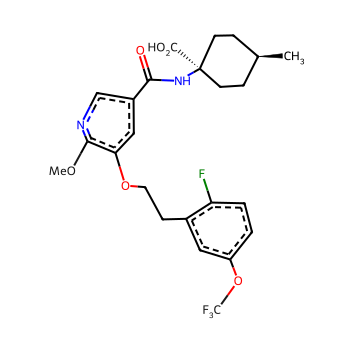 COc1ncc(C(=O)N[C@]2(C(=O)O)CC[C@H](C)CC2)cc1OCCc1cc(OC(F)(F)F)ccc1F